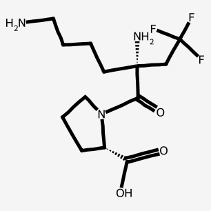 NCCCC[C@@](N)(CC(F)(F)F)C(=O)N1CCC[C@H]1C(=O)O